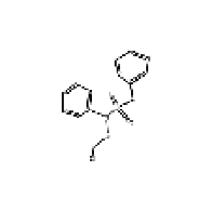 O=S(=O)(Cc1ccccc1)N(SCCl)c1ccccc1